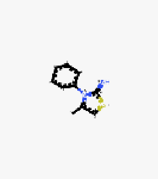 Cc1csc(=N)n1-c1ccccc1